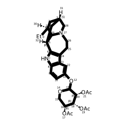 CC[C@H]1C[C@H]2C[C@H]3c4[nH]c5ccc(OC6OC[C@@H](OC(C)=O)[C@@H](OC(C)=O)[C@H]6OC(C)=O)cc5c4CCN(C2)C13